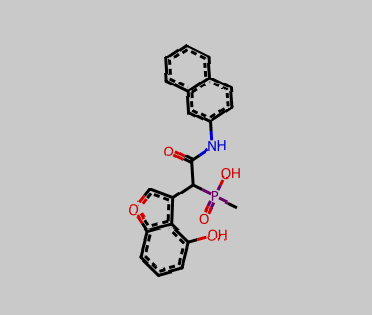 CP(=O)(O)C(C(=O)Nc1ccc2ccccc2c1)c1coc2cccc(O)c12